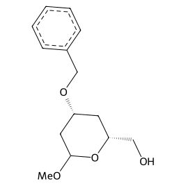 COC1C[C@H](OCc2ccccc2)C[C@H](CO)O1